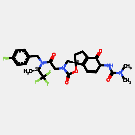 C[C@H](N(Cc1ccc(F)cc1)C(=O)CN1C[C@]2(CCC3=C2C=CC(NC(=O)N(C)C)C3=O)OC1=O)C(F)(F)F